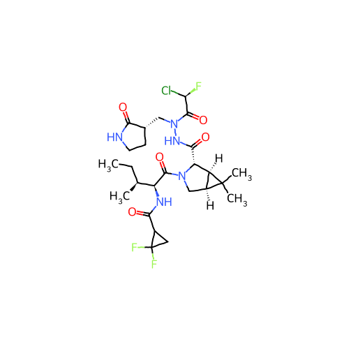 CC[C@H](C)[C@H](NC(=O)C1CC1(F)F)C(=O)N1C[C@H]2[C@@H]([C@H]1C(=O)NN(C[C@@H]1CCNC1=O)C(=O)[C@H](F)Cl)C2(C)C